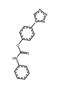 S=C(Nc1ccccc1)Oc1ccc(-n2cnnn2)cc1